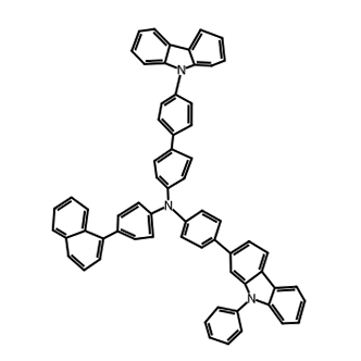 c1ccc(-n2c3ccccc3c3ccc(-c4ccc(N(c5ccc(-c6ccc(-n7c8ccccc8c8ccccc87)cc6)cc5)c5ccc(-c6cccc7ccccc67)cc5)cc4)cc32)cc1